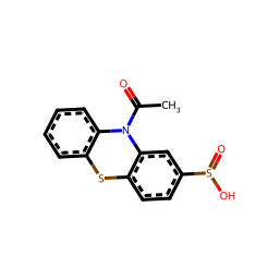 CC(=O)N1c2ccccc2Sc2ccc(S(=O)O)cc21